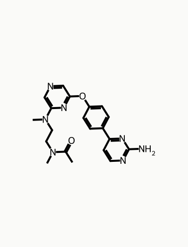 CC(=O)N(C)CCN(C)c1cncc(Oc2ccc(-c3ccnc(N)n3)cc2)n1